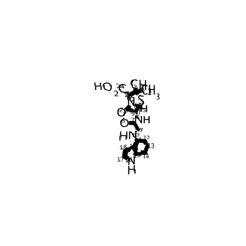 CC1(C)S[C@@H]2[C@H](NC(=O)CNc3cccc4[nH]ccc34)C(=O)N2[C@H]1C(=O)O